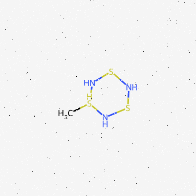 C[SH]1NSNSN1